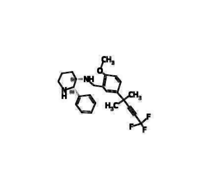 COc1ccc(C(C)(C)C#CC(F)(F)F)cc1CN[C@H]1CCCN[C@H]1c1ccccc1